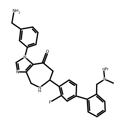 CCCN(C)Cc1ccccc1-c1ccc(C2CC(=O)c3c(ncn3-c3cccc(CN)c3)CN2)c(F)c1